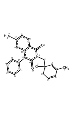 CC1=NC(Cl)(Cn2c(=O)c3ccc(N)nc3n(-c3ccccc3)c2=O)CC=C1